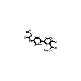 COC(=O)c1cc(-c2ccc(NC(=O)OC(C)(C)C)cn2)cnc1Cl